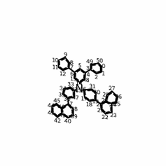 c1ccc(-c2cc(-c3ccccc3)cc(N(c3ccc(-c4cccc5ccccc45)cc3)c3cccc(-c4cccc5ccccc45)c3)c2)cc1